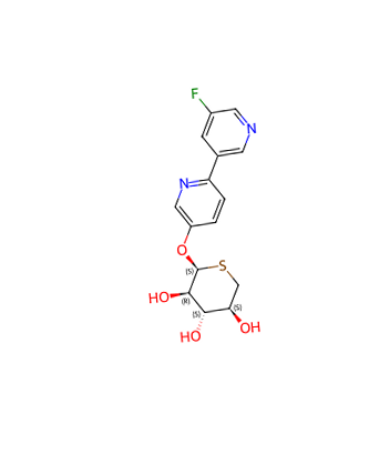 O[C@@H]1[C@@H](O)[C@@H](Oc2ccc(-c3cncc(F)c3)nc2)SC[C@H]1O